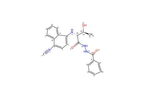 [C-]#[N+]c1ccc(N[C@@H](C(=O)NNC(=O)c2ccccc2)[C@H](C)O)c2ccccc12